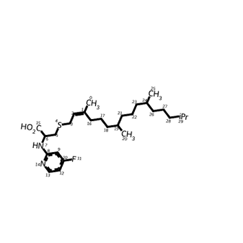 CC(=CCSCC(Nc1cc(F)ccn1)C(=O)O)CCCC(C)CCCC(C)CCCC(C)C